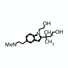 CNCCc1ccc2c(c1)cc(C(C)(C)CCO)n2CCO